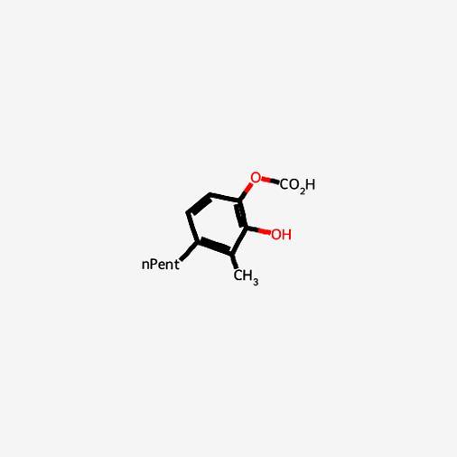 CCCCCc1ccc(OC(=O)O)c(O)c1C